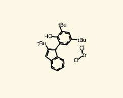 CC(C)(C)C1=Cc2ccccc2C1c1cc(C(C)(C)C)cc(C(C)(C)C)c1O.[Cl][Zr][Cl]